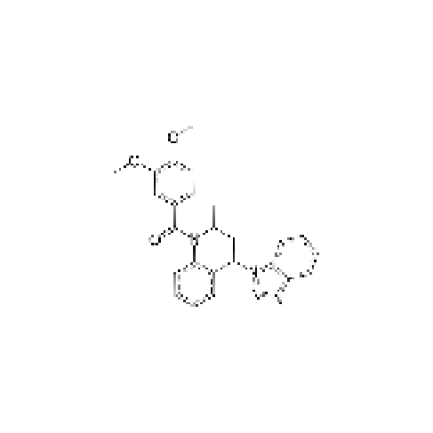 COc1ccc(C(=O)N2c3ccccc3C(n3nnc4ccccc43)CC2C)cc1OC